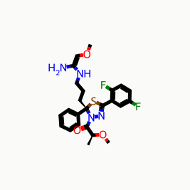 CO/C=C(/N)NCCC[C@@]1(c2ccccc2)SC(c2cc(F)ccc2F)=NN1C(=O)[C@H](C)OC